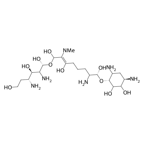 CN/C(=C(/O)CCCC(N)[C@H](O)O[C@@H]1C(N)C[C@@H](N)C(O)C1O)C(O)O[C@@H](O)C(N)[C@H](O)[C@H](N)CCO